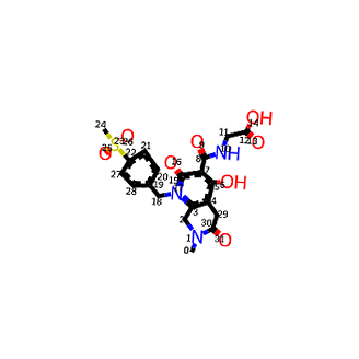 CN1Cc2c(c(O)c(C(=O)NCC(=O)O)c(=O)n2Cc2ccc(S(C)(=O)=O)cc2)CC1=O